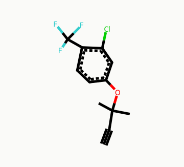 C#CC(C)(C)Oc1ccc(C(F)(F)F)c(Cl)c1